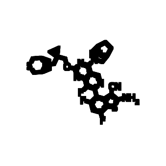 N#Cc1c(N)sc2c(F)cc(F)c(-c3ncc4c(N5CC6CCC(C5)N6)nc(OCC5(CN6C7CCC6CSC7)CC5)nc4c3F)c12